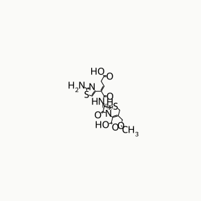 COCC1=C(C(=O)O)N2C(=O)[C@@H](NC(=O)C(=CCC(=O)O)c3csc(N)n3)[C@@H]2SC1